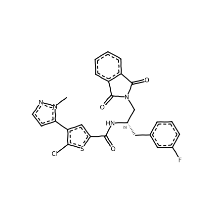 Cn1nccc1-c1cc(C(=O)N[C@@H](Cc2cccc(F)c2)CN2C(=O)c3ccccc3C2=O)sc1Cl